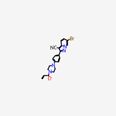 C=CC(=O)N1CCN(c2ccc(-c3nn4cc(Br)ccc4c3C#N)cc2)CC1